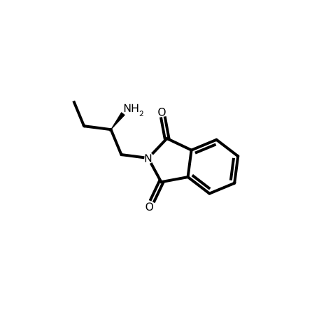 CC[C@@H](N)CN1C(=O)c2ccccc2C1=O